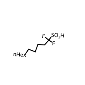 CCCCCCCCCCC(F)(F)S(=O)(=O)O